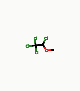 COC(Cl)C(Cl)(Cl)Cl